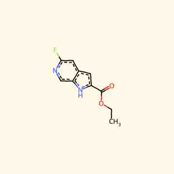 CCOC(=O)c1cc2cc(F)ncc2[nH]1